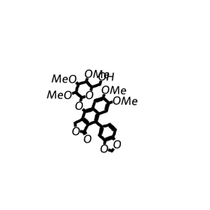 COc1cc2c(OC3OC(CO)C(OC)C(OC)C3OC)c3c(c(-c4ccc5c(c4)OCO5)c2cc1OC)C(=O)OC3